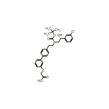 CC(C)(C)OC(=O)N(CCc1ccc(-c2cccc(OCC(=O)O)c2)cc1)C[C@H](O)c1cccc(Cl)c1